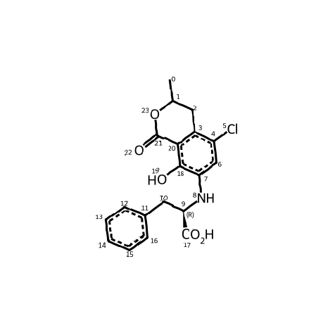 CC1Cc2c(Cl)cc(N[C@H](Cc3ccccc3)C(=O)O)c(O)c2C(=O)O1